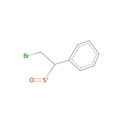 O=[S+]C(CBr)c1ccccc1